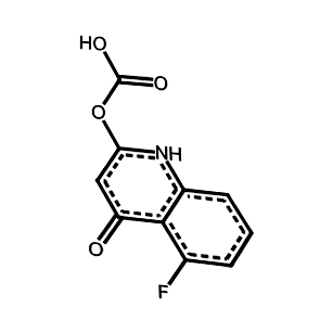 O=C(O)Oc1cc(=O)c2c(F)cccc2[nH]1